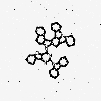 c1ccc2c(c1)ccc1c2c2c3c4ccccc4n4c5ccccc5c(cc2n1-c1nc(-n2c5ccccc5c5ccccc52)nc2c1oc1ccccc12)c34